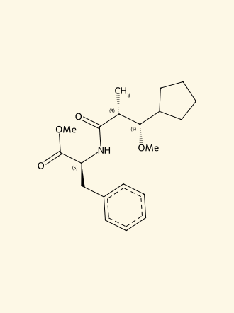 COC(=O)[C@H](Cc1ccccc1)NC(=O)[C@H](C)[C@@H](OC)C1CCCC1